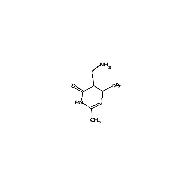 CCCC1C=C(C)NC(=O)C1CN